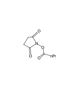 [CH2]CCC(=O)ON1C(=O)CCC1=O